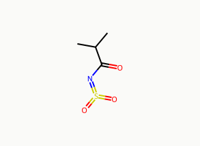 CC(C)C(=O)N=S(=O)=O